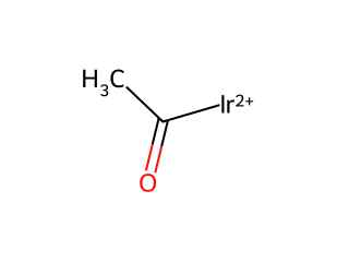 C[C](=O)[Ir+2]